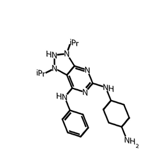 CC(C)N1NN(C(C)C)c2c(Nc3ccccc3)nc(NC3CCC(N)CC3)nc21